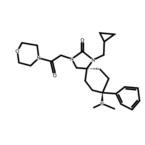 CN(C)[C@]1(c2ccccc2)CC[C@]2(CC1)CN(CC(=O)N1CCOCC1)C(=O)N2CC1CC1